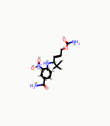 CC(C)(C)C(C=CCOC(N)=O)Nc1ccc(C(N)=O)cc1[N+](=O)[O-]